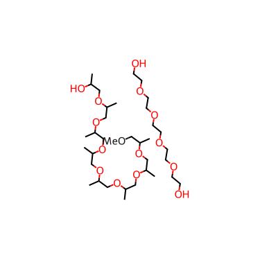 COCC(C)OCC(C)OCC(C)OCC(C)OCC(C)OCC(C)OCC(C)OCC(C)O.OCCOCCOCCOCCOCCO